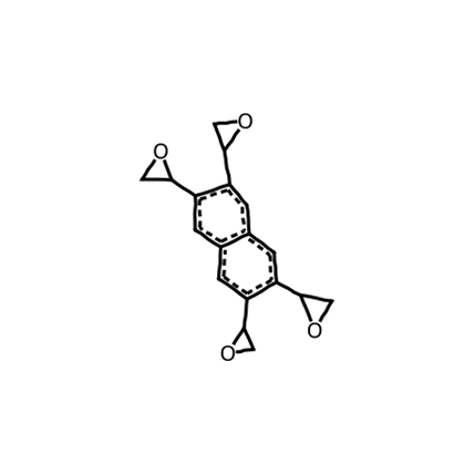 c1c(C2CO2)c(C2CO2)cc2cc(C3CO3)c(C3CO3)cc12